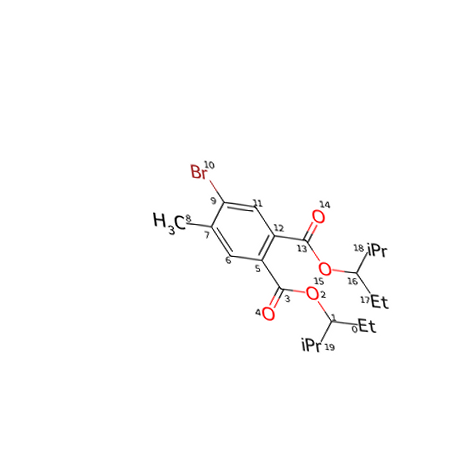 CCC(OC(=O)c1cc(C)c(Br)cc1C(=O)OC(CC)C(C)C)C(C)C